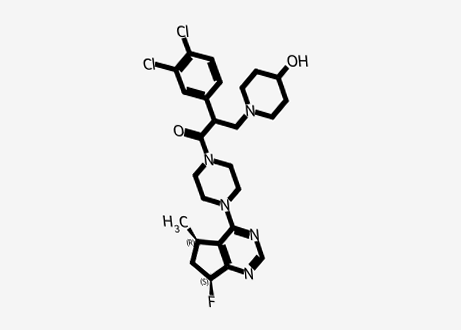 C[C@@H]1C[C@H](F)c2ncnc(N3CCN(C(=O)C(CN4CCC(O)CC4)c4ccc(Cl)c(Cl)c4)CC3)c21